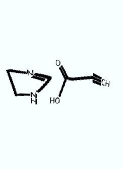 C#CC(=O)O.C1=NCCN1